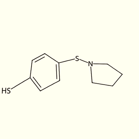 Sc1ccc(SN2CCCC2)cc1